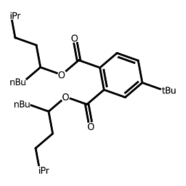 CCCCC(CCC(C)C)OC(=O)c1ccc(C(C)(C)C)cc1C(=O)OC(CCCC)CCC(C)C